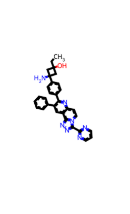 CCC1(O)CC(N)(c2ccc(-c3nc4ccn5c(-c6ncccn6)nnc5c4cc3-c3ccccc3)cc2)C1